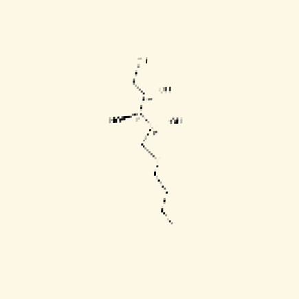 CCCCOC[C@@H](O)[C@@H](O)[C@@H](O)CO